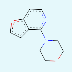 [c]1cc2c(N3CCOCC3)nccc2o1